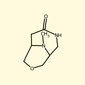 CN1C2CNC(=O)CC1COC2